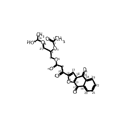 CC(=O)OC(COC(=O)CC(=O)c1cc2c(o1)C(=O)c1ccccc1C2=O)COC(C)O